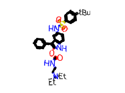 CCN(CC)CCNC(=O)Oc1[nH]c2ccc(NS(=O)(=O)c3ccc(C(C)(C)C)cc3)cc2c1-c1ccccc1